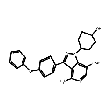 COc1cnc(N)c2c(-c3ccc(Oc4ccccc4)cc3)nn(C3CCC(O)CC3)c12